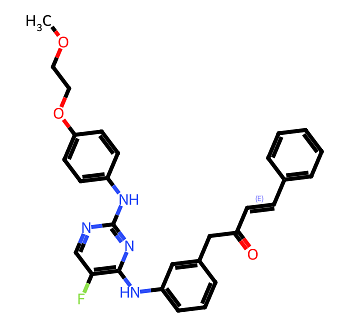 COCCOc1ccc(Nc2ncc(F)c(Nc3cccc(CC(=O)/C=C/c4ccccc4)c3)n2)cc1